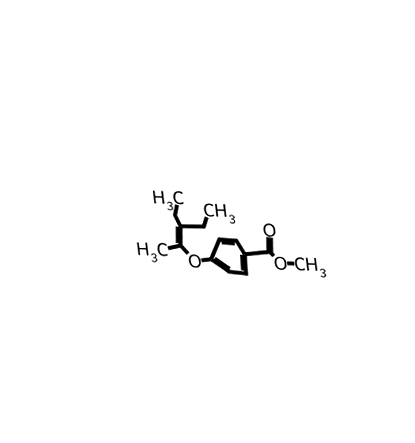 CCC(CC)=C(C)Oc1ccc(C(=O)OC)cc1